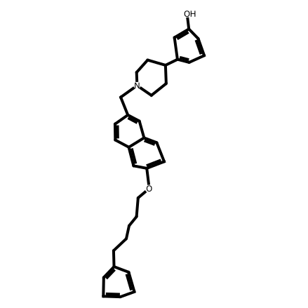 Oc1cccc(C2CCN(Cc3ccc4cc(OCCCCCc5ccccc5)ccc4c3)CC2)c1